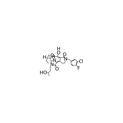 CC(O)CCN1C(=O)c2c3c(c(O)c(=O)n2[C@@]12CC[C@H]1C[C@H]12)C(=O)N(Cc1ccc(F)c(Cl)c1)CC3